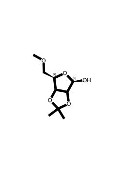 COC[C@H]1O[C@@H](O)C2OC(C)(C)OC21